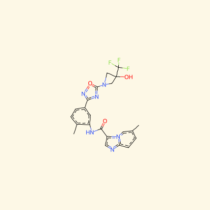 Cc1ccc2ncc(C(=O)Nc3cc(-c4noc(N5CC(O)(C(F)(F)F)C5)n4)ccc3C)n2c1